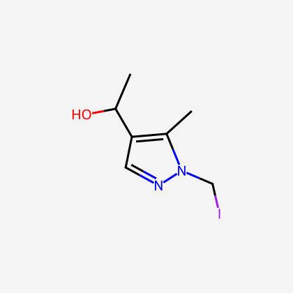 Cc1c(C(C)O)cnn1CI